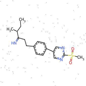 CCC(C)C(=N)CCc1ccc(-c2cnc(S(C)(=O)=O)nc2)cc1